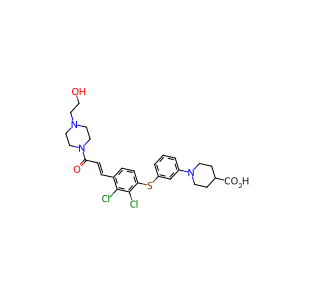 O=C(O)C1CCN(c2cccc(Sc3ccc(C=CC(=O)N4CCN(CCO)CC4)c(Cl)c3Cl)c2)CC1